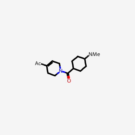 CNC1CCC(C(=O)N2CC=C(C(C)=O)CC2)CC1